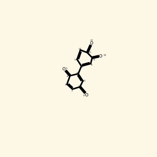 O=C1C=CC(=O)C(C2=CC(=O)C(=O)C=C2)=C1